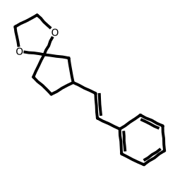 C(=C\C1CCC2(C1)OCCO2)/c1ccccc1